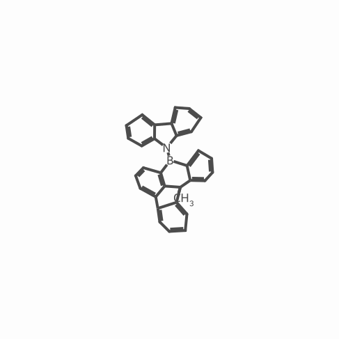 CC12c3ccccc3B(n3c4ccccc4c4ccccc43)c3cccc(c31)-c1ccccc12